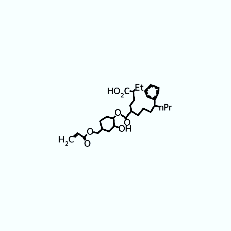 C=CC(=O)OCC1CCC(OC(=O)C(CCCC(CCC)c2ccccc2)CCC(CC)C(=O)O)C(O)C1